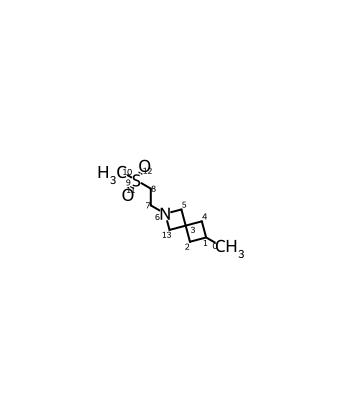 CC1CC2(C1)CN(CCS(C)(=O)=O)C2